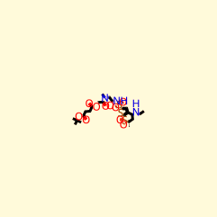 CCN[C@H]1C[C@H](C)S(=O)(=O)c2sc(S(=O)(=O)NC(=O)CN(C)C(=O)COC(=O)CCC(=O)OC(C)(C)C)cc21